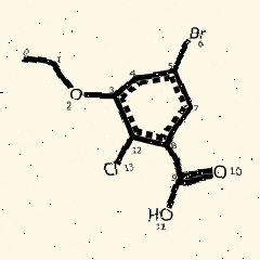 CCOc1cc(Br)cc(C(=O)O)c1Cl